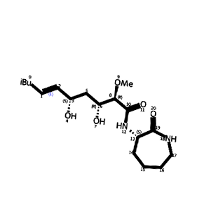 CCC(C)/C=C/[C@@H](O)C[C@@H](O)[C@@H](OC)C(=O)N[C@H]1CCCCNC1=O